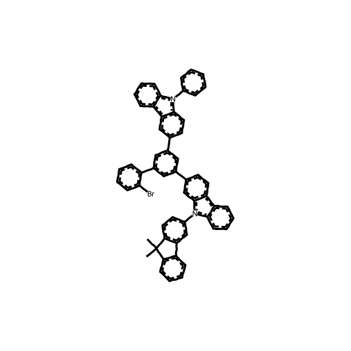 CC1(C)c2ccccc2-c2cc(-n3c4ccccc4c4ccc(-c5cc(-c6ccc7c(c6)c6ccccc6n7-c6ccccc6)cc(-c6ccccc6Br)c5)cc43)ccc21